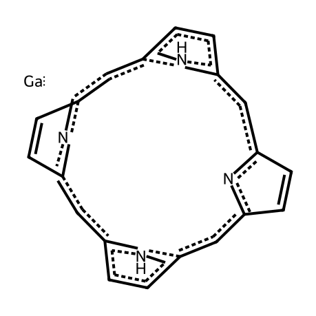 C1=Cc2cc3ccc(cc4nc(cc5ccc(cc1n2)[nH]5)C=C4)[nH]3.[Ga]